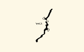 CCCCCCC(=O)CCCOC(=O)CCC.Cl